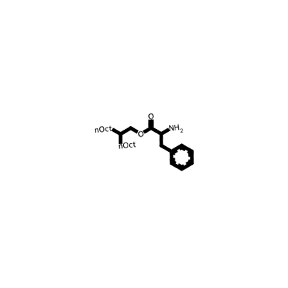 CCCCCCCCC(CCCCCCCC)COC(=O)C(N)Cc1ccccc1